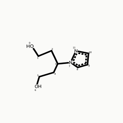 OCCC(CCO)n1c[c]cn1